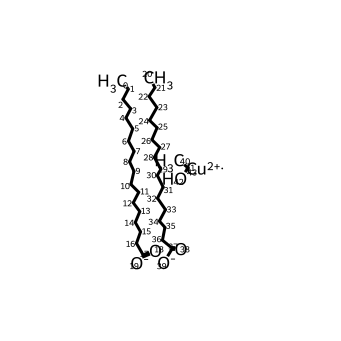 CCCCCCCCCCCCCCCCCC(=O)[O-].CCCCCCCCCCCCCCCCCC(=O)[O-].CCO.[Cu+2]